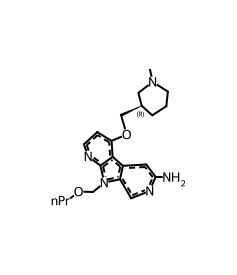 CCCOCn1c2cnc(N)cc2c2c(OC[C@@H]3CCCN(C)C3)ccnc21